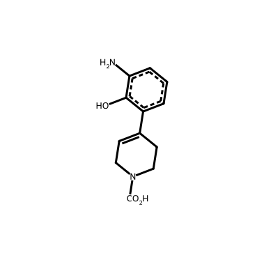 Nc1cccc(C2=CCN(C(=O)O)CC2)c1O